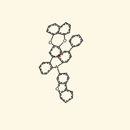 c1ccc(-c2ccc(N(c3ccc4c(c3)oc3ccccc34)c3ccccc3-c3ccc4c(c3)Oc3cccc5cccc(c35)O4)cc2)cc1